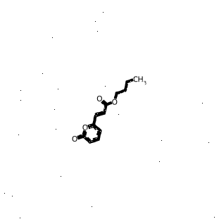 CCCCOC(=O)C=Cc1cccc(=O)o1